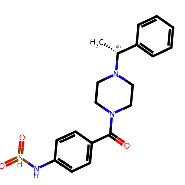 C[C@H](c1ccccc1)N1CCN(C(=O)c2ccc(N[SH](=O)=O)cc2)CC1